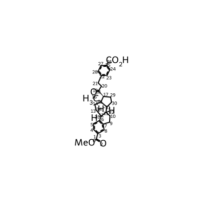 COC(=O)c1ccc2c(c1)CC[C@@H]1[C@@H]2CC[C@]2(C)[C@@H](C(=O)CCc3ccc(C(=O)O)cc3)CC[C@@H]12